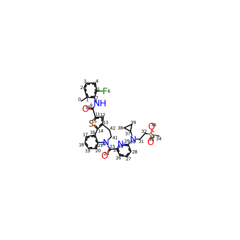 Cc1cccc(F)c1NC(=O)c1cc2c(s1)-c1ccccc1N(C(=O)c1cccc(N(CCS(C)(=O)=O)C3CC3)n1)CC2